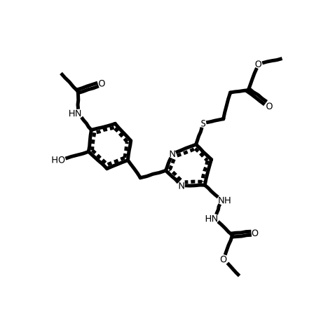 COC(=O)CCSc1cc(NNC(=O)OC)nc(Cc2ccc(NC(C)=O)c(O)c2)n1